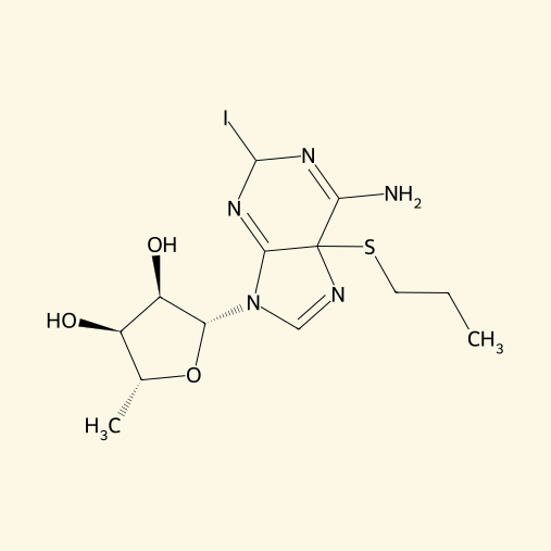 CCCSC12N=CN([C@@H]3O[C@H](C)[C@@H](O)[C@H]3O)C1=NC(I)N=C2N